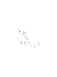 Cc1c(-c2cccc(S(C)(=O)=O)c2)c2cc(C(=O)N(C)C)ccc2n1C/C(F)=C/CN